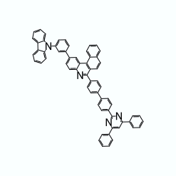 c1ccc(-c2cc(-c3ccccc3)nc(-c3ccc(-c4ccc(-c5nc6ccc(-c7cccc(-n8c9ccccc9c9ccccc98)c7)cc6c6c5ccc5ccccc56)cc4)cc3)n2)cc1